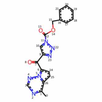 Cc1ncnn2c(C(=O)c3cn(C(=O)OCc4ccccc4)nn3)ccc12